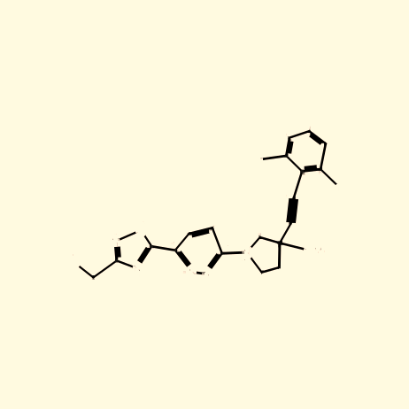 COC1(C#Cc2c(Cl)cccc2Cl)CCN(c2ccc(-c3nc(CO)no3)nn2)C1